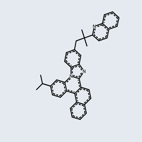 CC(C)c1ccc2c3c4ccccc4ccc3c3nc4cc(CC(C)(C)c5ccc6ccccc6n5)ccc4n3c2c1